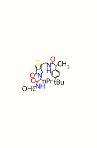 CCCC(C(=O)NC=O)N1Cc2c(csc2CNC(=O)C(C)c2ccc(C(C)(C)C)cc2)C1=O